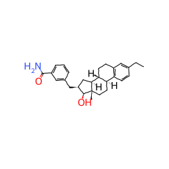 CCc1ccc2c(c1)CC[C@@H]1[C@@H]2CC[C@]2(C)[C@@H](O)[C@@H](Cc3cccc(C(N)=O)c3)C[C@@H]12